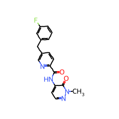 Cn1nccc(NC(=O)c2ccc(Cc3cccc(F)c3)cn2)c1=O